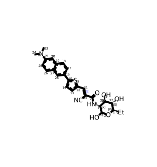 CC[C@H]1OC(O)[C@H](NC(=O)/C(C#N)=C/c2ccc(-c3ccc4cc(N(C)C)ccc4c3)s2)[C@@H](O)[C@@H]1O